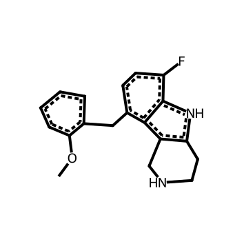 COc1ccccc1Cc1ccc(F)c2[nH]c3c(c12)CNCC3